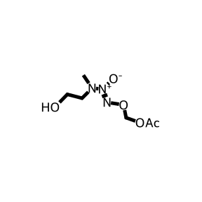 CC(=O)OCON=[N+]([O-])N(C)CCO